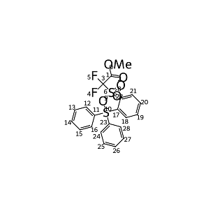 COC(=O)C(F)(F)S(=O)(=O)OS(c1ccccc1)(c1ccccc1)c1ccccc1